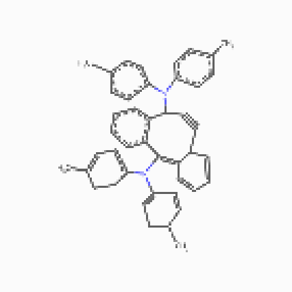 CC1=CC=C(N(C2=CCC(C)C=C2)/C2=C3\C=CC=CC3C#CC(N(c3ccc(C)cc3)c3ccc(C)cc3)c3ccccc32)CC1